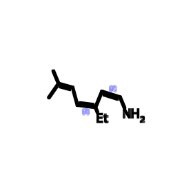 CCC(/C=C\N)=C/C=C(C)C